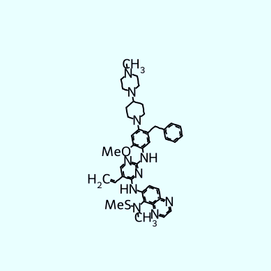 C=Cc1cnc(Nc2cc(Cc3ccccc3)c(N3CCC(N4CCN(C)CC4)CC3)cc2OC)nc1Nc1ccc2nccnc2c1N(C)SC